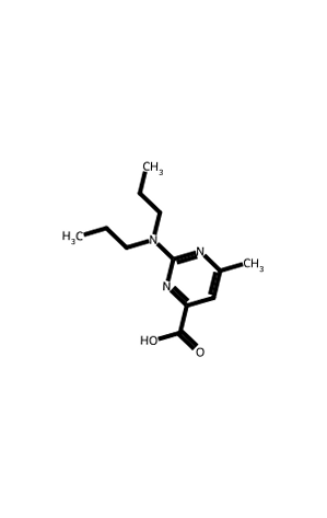 CCCN(CCC)c1nc(C)cc(C(=O)O)n1